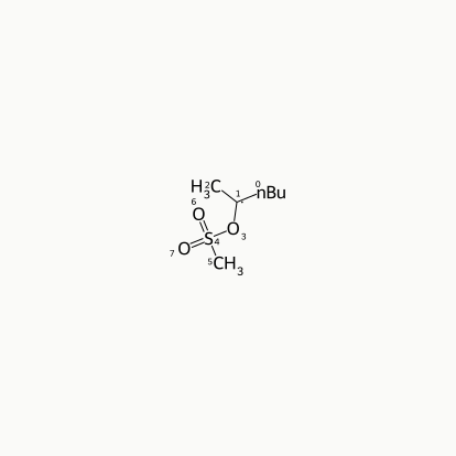 CCCC[C](C)OS(C)(=O)=O